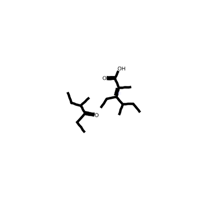 CC/C(=C(/C)C(=O)O)C(C)CC.CCC(=O)C(C)CC